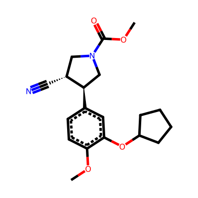 COC(=O)N1C[C@@H](C#N)[C@H](c2ccc(OC)c(OC3CCCC3)c2)C1